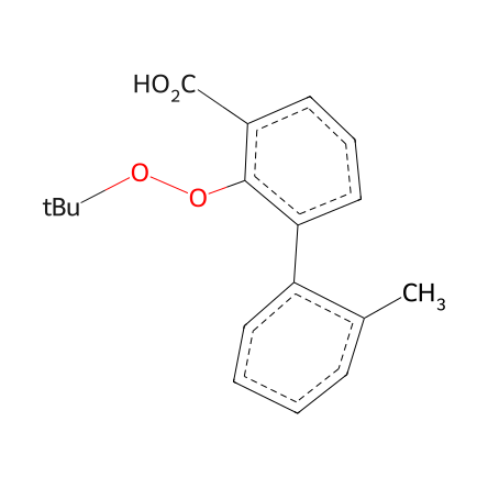 Cc1ccccc1-c1cccc(C(=O)O)c1OOC(C)(C)C